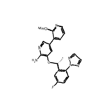 COc1ncccc1-c1cnc(N)c(O[C@H](C)c2cc(F)ccc2-n2nccn2)c1